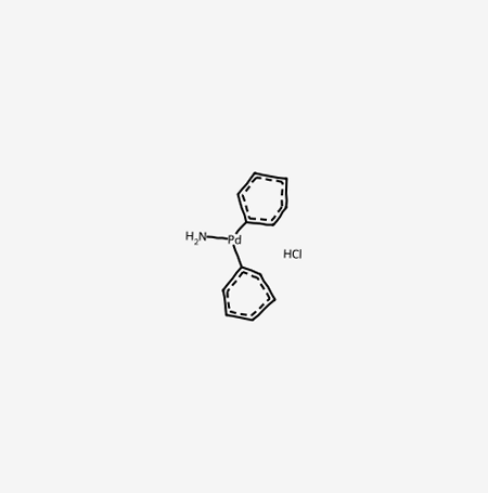 Cl.[NH2][Pd]([c]1ccccc1)[c]1ccccc1